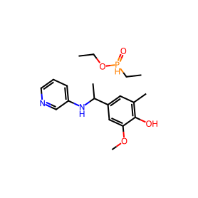 CCO[PH](=O)CC.COc1cc(C(C)Nc2cccnc2)cc(C)c1O